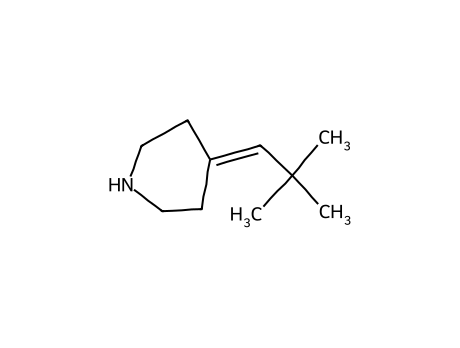 CC(C)(C)C=C1CCNCC1